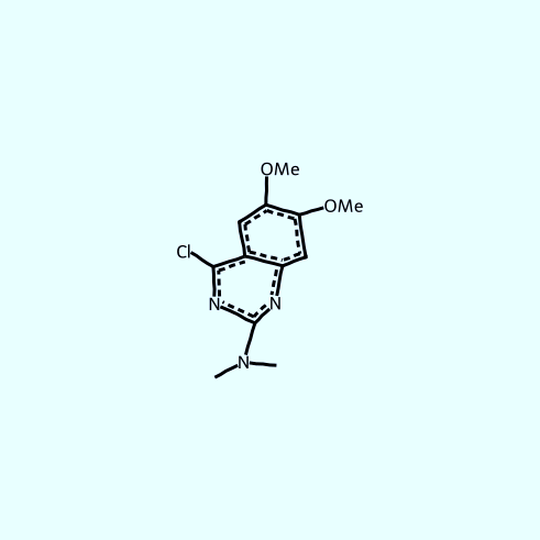 COc1cc2nc(N(C)C)nc(Cl)c2cc1OC